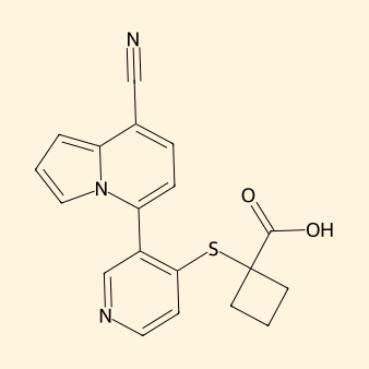 N#Cc1ccc(-c2cnccc2SC2(C(=O)O)CCC2)n2cccc12